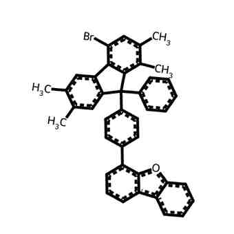 Cc1cc2c(cc1C)C(c1ccccc1)(c1ccc(-c3cccc4c3oc3ccccc34)cc1)c1c(C)c(C)cc(Br)c1-2